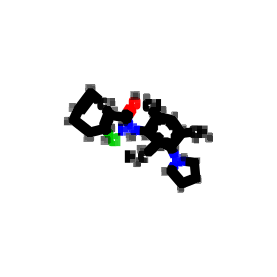 Cc1cc(C)c(N2CCCC2)c(C)c1NC(=O)C1=C(Cl)CCC=CC1